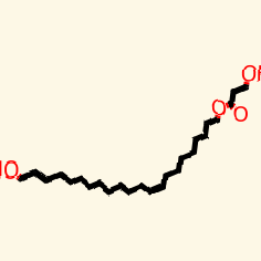 O=C(CCO)OCCCCCCCC/C=C\CCCCCCCCCCCCO